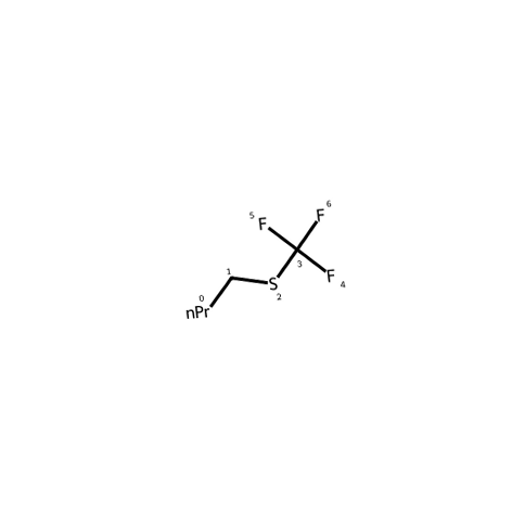 CCCCSC(F)(F)F